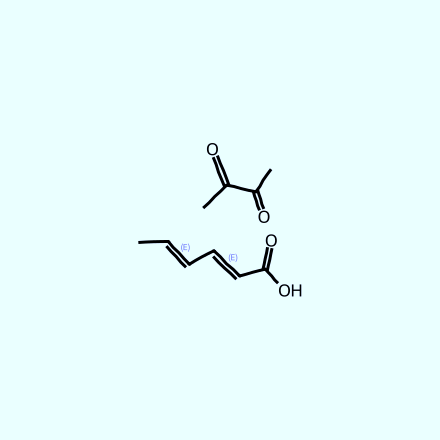 C/C=C/C=C/C(=O)O.CC(=O)C(C)=O